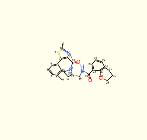 Cc1cccc(-c2sc(C)nc2C(=O)N2CC[C@H]2CNC(=O)c2cccc3c2OCCC3)c1